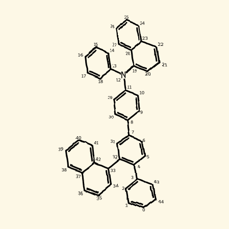 c1ccc(-c2ccc(-c3ccc(N(c4ccccc4)c4cccc5ccccc45)cc3)cc2-c2cccc3ccccc23)cc1